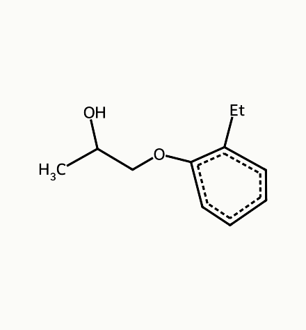 CCc1ccccc1OCC(C)O